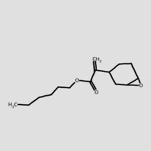 C=C(C(=O)OCCCCCC)C1CCC2OC2C1